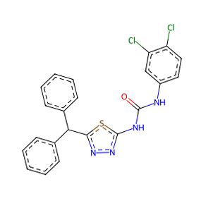 O=C(Nc1ccc(Cl)c(Cl)c1)Nc1nnc(C(c2ccccc2)c2ccccc2)s1